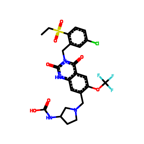 CCS(=O)(=O)c1ccc(Cl)cc1Cn1c(=O)[nH]c2cc(CN3CCC(NC(=O)O)C3)c(OC(F)(F)F)cc2c1=O